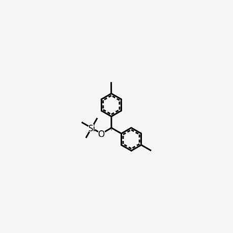 Cc1ccc([C](O[Si](C)(C)C)c2ccc(C)cc2)cc1